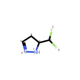 FC(F)C1CC=NN1